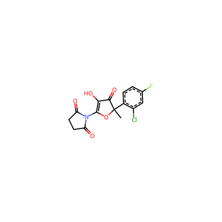 CC1(c2ccc(F)cc2Cl)OC(N2C(=O)CCC2=O)=C(O)C1=O